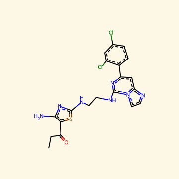 CCC(=O)c1sc(NCCNc2nc(-c3ccc(Cl)cc3Cl)cc3nccn23)nc1N